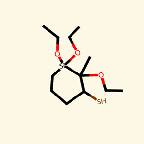 CCOC1(C)C(S)CCC[Si]1(OCC)OCC